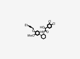 CCC#CCOc1ccc([C@@H]2CCCC[C@H]2NC(=O)C(O)c2ccc(Cl)c(Cl)c2)cc1OC